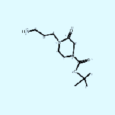 CC(C)(C)OC(=O)N1CCN(CCCN)C(=O)C1